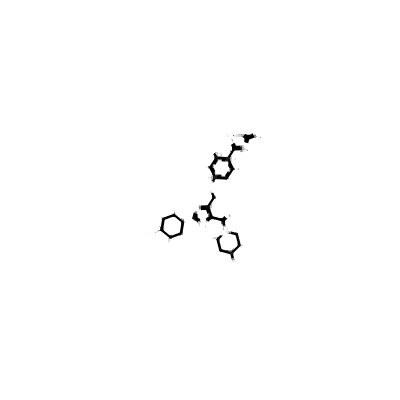 O=C(c1nc([C@H]2CC[C@H](C(F)(F)F)CC2)sc1COc1ccc(-c2noc(=O)[nH]2)c(F)c1)N1CCC(C(F)(F)F)CC1